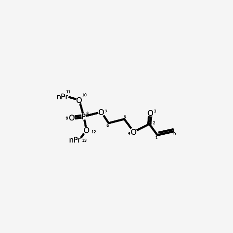 C=CC(=O)OCCOP(=O)(OCCC)OCCC